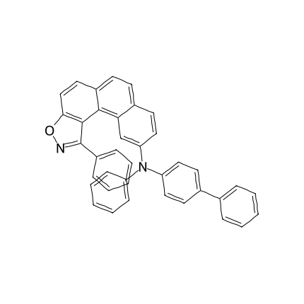 c1ccc(-c2ccc(N(c3ccccc3)c3ccc4ccc5ccc6onc(-c7ccccc7)c6c5c4c3)cc2)cc1